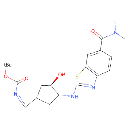 CN(C)C(=O)c1ccc2nc(N[C@@H]3CC(/C=N\C(=O)OC(C)(C)C)C[C@H]3O)sc2c1